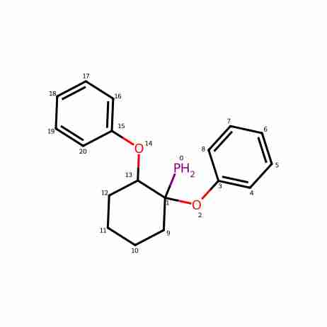 PC1(Oc2ccccc2)CCCCC1Oc1ccccc1